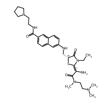 CCN1C(=O)[C@@H](CNc2ccc3cc(C(=O)NCCN4CCCC4)ccc3c2)S/C1=C(/N)C(=O)N(C)CCN(C)C